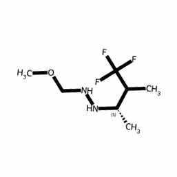 COCNN[C@@H](C)C(C)C(F)(F)F